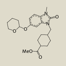 COC(=O)C1CCC(Cn2c(=O)n(C)c3ccc(OC4CCCCO4)cc32)CC1